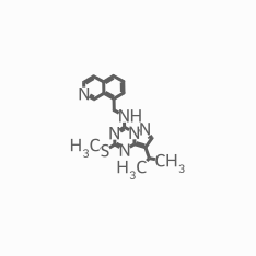 CSc1nc(NCc2cccc3ccncc23)n2ncc(C(C)C)c2n1